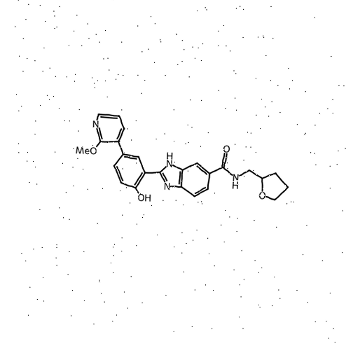 COc1ncccc1-c1ccc(O)c(-c2nc3ccc(C(=O)NCC4CCCO4)cc3[nH]2)c1